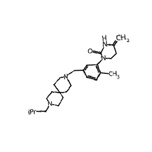 C=C1CCN(c2cc(CN3CCC4(CC3)CCN(CC(C)C)CC4)ccc2C)C(=O)N1